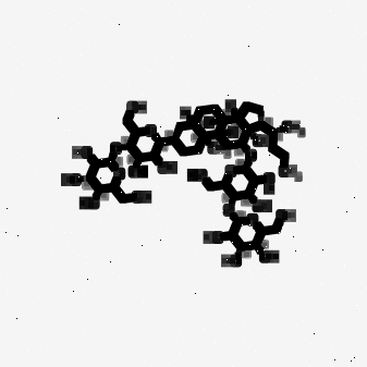 CCC[C@@H](C)[C@H]1CC[C@H]2[C@@H]3CC[C@@H]4C[C@H]([C@@H]5OC(CO)[C@@H](O[C@H]6OC(CO)[C@@H](O)[C@H](O)C6O)[C@H](O)C5O)CC[C@]4(C)[C@H]3C[C@H](O[C@@H]3OC(CO)[C@@H](O[C@H]4OC(CO)[C@@H](O)[C@H](O)C4O)[C@H](O)C3O)[C@]12C